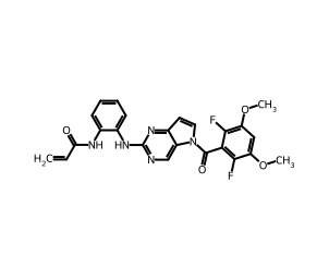 C=CC(=O)Nc1ccccc1Nc1ncc2c(ccn2C(=O)c2c(F)c(OC)cc(OC)c2F)n1